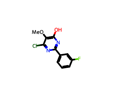 COc1c(O)nc(-c2cccc(F)c2)nc1Cl